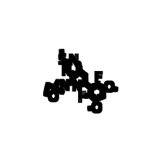 COc1cc(OC)c(F)c(-c2cc3cnc(SC)nc3c(N3CC4(CCO4)C3)n2)c1F